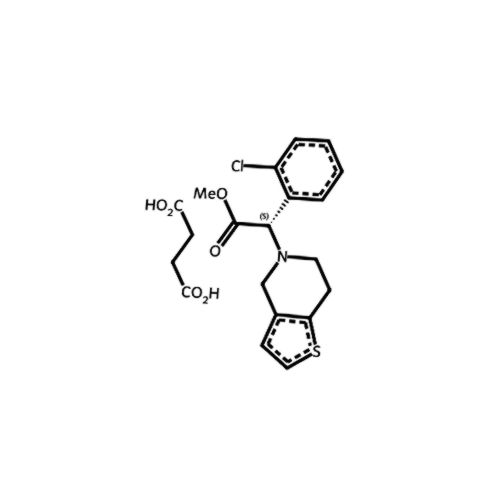 COC(=O)[C@H](c1ccccc1Cl)N1CCc2sccc2C1.O=C(O)CCC(=O)O